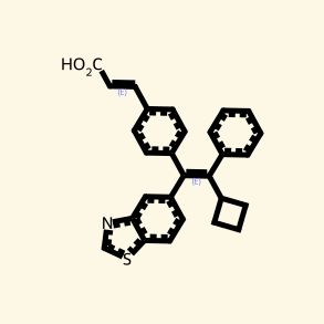 O=C(O)/C=C/c1ccc(/C(=C(\c2ccccc2)C2CCC2)c2ccc3scnc3c2)cc1